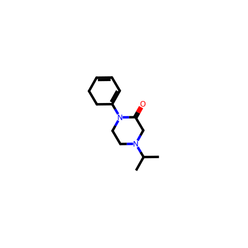 CC(C)N1CCN(C2=CC=CCC2)C(=O)C1